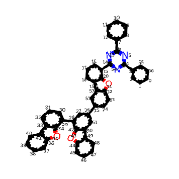 c1ccc(-c2nc(-c3ccccc3)nc(-c3cccc4c3oc3ccc(-c5cc(-c6cccc7c6oc6ccccc67)c6oc7ccccc7c6c5)cc34)n2)cc1